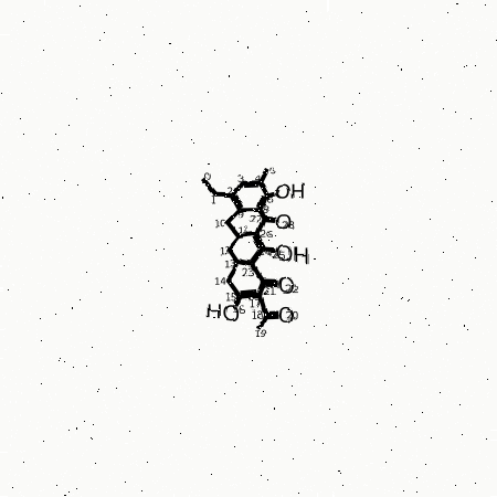 CCc1cc(C)c(O)c2c1CC1CC3CC(O)=C(C(C)=O)C(=O)C3C(O)=C1C2=O